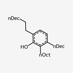 CCCCCCCCCCCCc1ccc(CCCCCCCCCC)c(CCCCCCCC)c1O